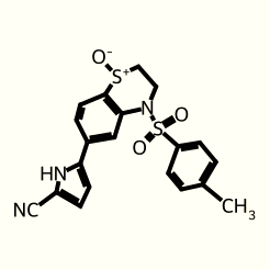 Cc1ccc(S(=O)(=O)N2CC[S+]([O-])c3ccc(-c4ccc(C#N)[nH]4)cc32)cc1